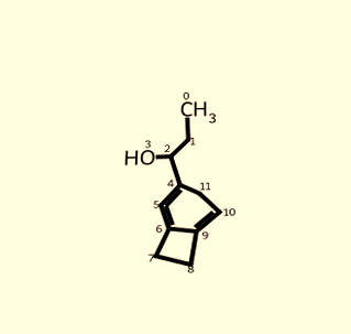 CCC(O)C1=C=C2CCC2=CC1